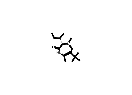 CCC(C)[C@H]1C(=O)NC(C)=C(C(C)(C)C)CN1C